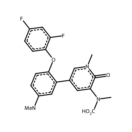 CNc1ccc(Oc2ccc(F)cc2F)c(-c2cc(N(C)C(=O)O)c(=O)n(C)c2)c1